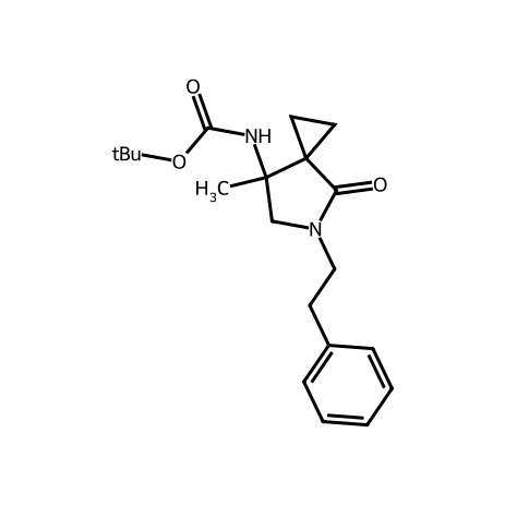 CC(C)(C)OC(=O)NC1(C)CN(CCc2ccccc2)C(=O)C12CC2